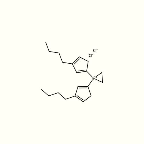 CCCCC1=CC[C]([Ti+2]2([C]3=CC(CCCC)=CC3)[CH2][CH2]2)=C1.[Cl-].[Cl-]